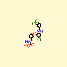 O=C(O)NCc1cccc(Oc2cc(Cl)ccc2NCc2ccc(Cl)c(Cl)c2)c1